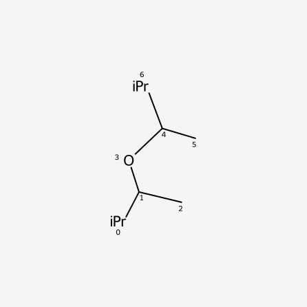 CC(C)C(C)OC(C)C(C)C